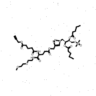 C#CCOC(=O)CCCC(=O)NC(CCC(=O)OCc1cn(C[C@H](OC(=O)CCCC)[C@H](COP(C)(C)=O)OC(=O)CCCC)nn1)C(=O)NCCOCCOC